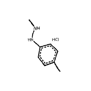 CNNc1ccc(C)cc1.Cl